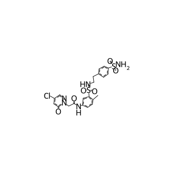 Cc1ccc(NC(=O)Cn2ncc(Cl)cc2=O)cc1S(=O)(=O)NCCc1ccc(S(N)(=O)=O)cc1